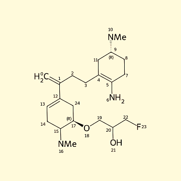 C=C(CCC1=C(N)CC[C@@H](NC)C1)C1=CCC(NC)[C@H](OCC(O)CF)C1